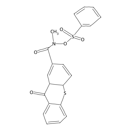 CN(OS(=O)(=O)c1ccccc1)C(=O)C1=CC2C(=O)c3ccccc3SC2C=C1